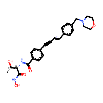 C[C@H](O)[C@H](NC(=O)c1ccc(C#C/C=C/c2ccc(CN3CCOCC3)cc2)cc1)C(=O)NO